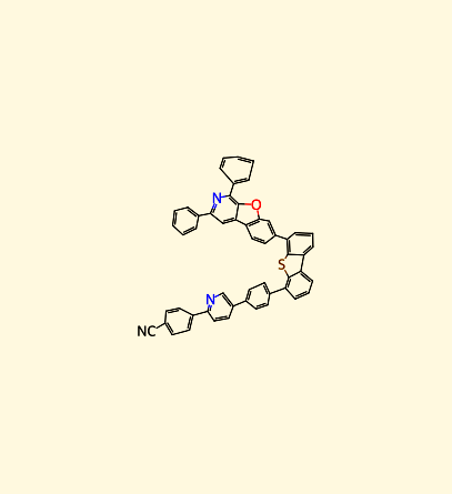 N#Cc1ccc(-c2ccc(-c3ccc(-c4cccc5c4sc4c(-c6ccc7c(c6)oc6c(-c8ccccc8)nc(-c8ccccc8)cc67)cccc45)cc3)cn2)cc1